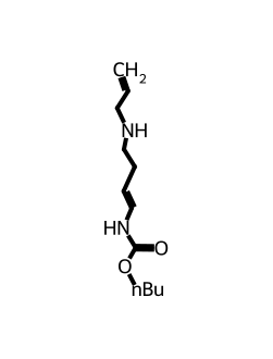 C=CCNCCC=CNC(=O)OCCCC